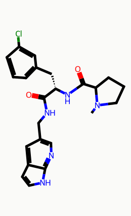 CN1CCCC1C(=O)N[C@@H](Cc1cccc(Cl)c1)C(=O)NCc1cnc2[nH]ccc2c1